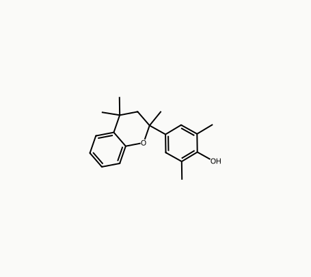 Cc1cc(C2(C)CC(C)(C)c3ccccc3O2)cc(C)c1O